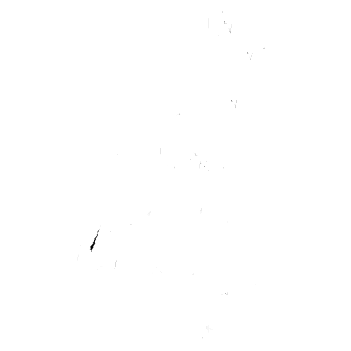 CCC(N/C=N\N)N1CC[C@]23c4c5ccc(O)c4O[C@H]2[C@@H](O)C=C[C@H]3[C@H]1C5